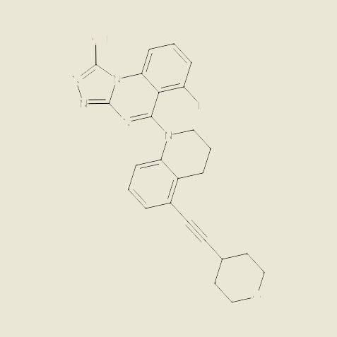 Cc1nnc2nc(N3CCCc4c(C#CC5CCOCC5)cccc43)c3c(F)cccc3n12